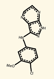 COc1cc(Nc2n[nH]c3nccnc23)ccc1Cl